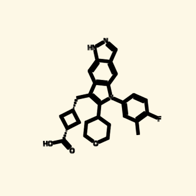 Cc1cc(-n2c(C3CCOCC3)c(C[C@H]3C[C@@H](C(=O)O)C3)c3cc4[nH]ncc4cc32)ccc1F